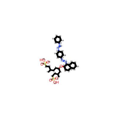 CC(CCC(CC(C)CCS(=O)(=O)O)Oc1ccc2ccccc2c1N=Nc1ccc(N=Nc2ccccc2)cc1)CCS(=O)(=O)O